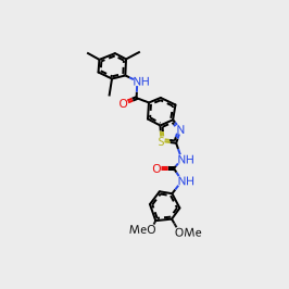 COc1ccc(NC(=O)Nc2nc3ccc(C(=O)Nc4c(C)cc(C)cc4C)cc3s2)cc1OC